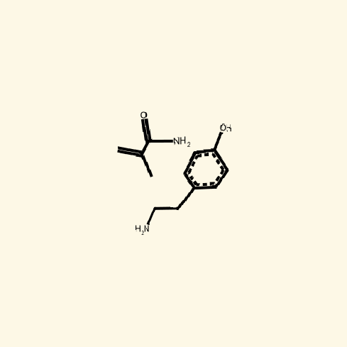 C=C(C)C(N)=O.NCCc1ccc(O)cc1